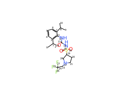 CC(C)c1cccc(C(C)C)c1NC(=O)NS(=O)(=O)C1CCN(CC(F)(F)F)C1